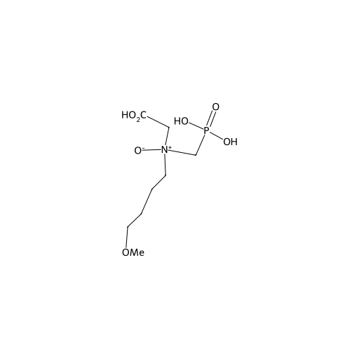 COCCCC[N+]([O-])(CC(=O)O)CP(=O)(O)O